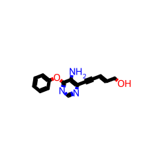 Nc1c(C#CC=CCO)ncnc1Oc1ccccc1